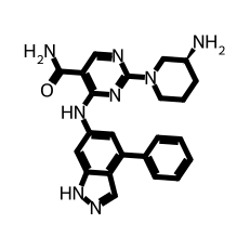 NC(=O)c1cnc(N2CCC[C@H](N)C2)nc1Nc1cc(-c2ccccc2)c2cn[nH]c2c1